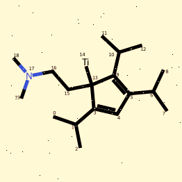 CC(C)C1=CC(C(C)C)=C(C(C)C)[C]1([Ti])CCN(C)C